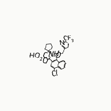 O=C(NC1(C(=O)O)CCCC1)c1cc(Cl)c2ccccc2c1OCc1ccc(C(F)(F)F)nc1